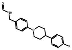 O=CNCc1ccc(N2CCC(c3ccc(F)cc3)CC2)cc1